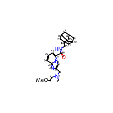 COCCN(C)Cc1cn2c(C(=O)NCC34CC5CC(CC(C5)C3)C4)cccc2n1